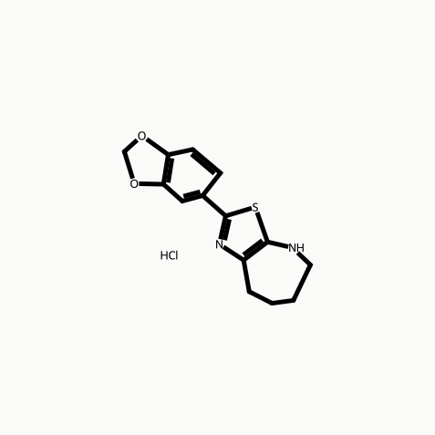 Cl.c1cc2c(cc1-c1nc3c(s1)NCCCC3)OCO2